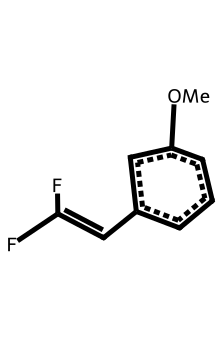 COc1cccc(C=C(F)F)c1